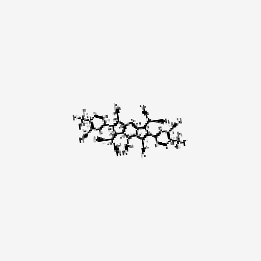 N#CC(C#N)=C1C(c2ccc(C(F)(F)F)c(C#N)c2)=C(C#N)c2c1cc1c(c2C#N)C(=C(C#N)C#N)C(c2ccc(C(F)(F)F)c(C#N)c2)=C1C#N